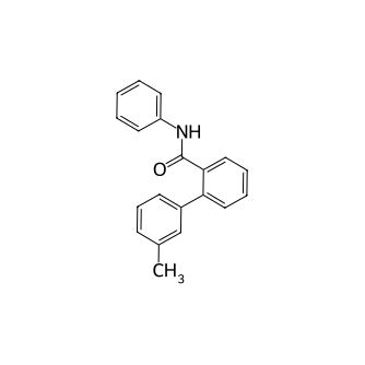 Cc1cccc(-c2ccccc2C(=O)Nc2ccccc2)c1